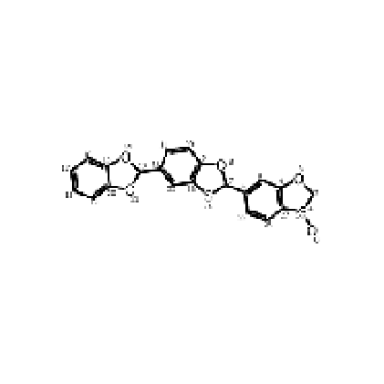 [O-][S+]1COc2cc(C3Oc4ccc(C5Oc6ccccc6O5)cc4S3)ccc21